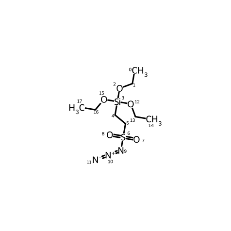 CCO[Si](CCS(=O)(=O)N=[N+]=[N-])(OCC)OCC